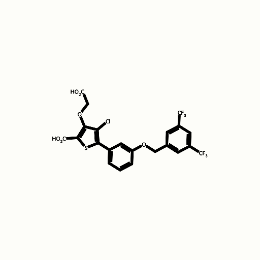 O=C(O)COc1c(C(=O)O)sc(-c2cccc(OCc3cc(C(F)(F)F)cc(C(F)(F)F)c3)c2)c1Cl